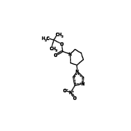 CC(C)(C)OC(=O)N1CCCC(n2cnc([N+](=O)[O-])c2)C1